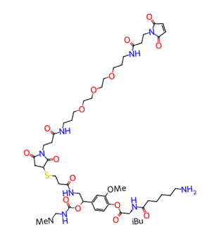 CC[C@H](C)[C@H](NC(=O)CCCCCN)C(=O)Oc1ccc(C(CNC(=O)CCSC2CC(=O)N(CCC(=O)NCCCOCCOCCOCCCNC(=O)CCN3C(=O)C=CC3=O)C2=O)OC(=O)NCNC)cc1OC